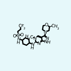 C[C@H]1CN(c2n[nH]c3c2=CN(C)[C@H](NC2CCC(NS(=O)(=O)CCC(F)(F)F)CC2)N=3)CCO1